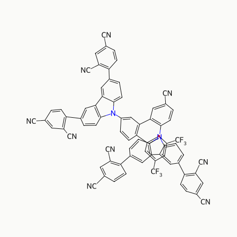 N#Cc1ccc(-c2ccc3c(c2)c2cc(-c4ccc(C#N)cc4C#N)ccc2n3-c2ccc(-c3cc(C(F)(F)F)cc(C(F)(F)F)c3)c(-c3cc(C#N)ccc3-n3c4ccc(-c5ccc(C#N)cc5C#N)cc4c4cc(-c5ccc(C#N)cc5C#N)ccc43)c2)c(C#N)c1